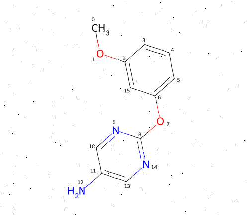 COc1cccc(Oc2ncc(N)cn2)c1